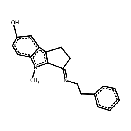 Cn1c2c(c3cc(O)ccc31)CC/C2=N\CCc1ccccc1